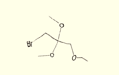 COCC(CBr)(OC)OC